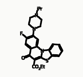 CCOC(=O)c1c(=O)c2cc(F)c(N3CCN(C(C)C)CC3)cc2n2c1sc1ccccc12